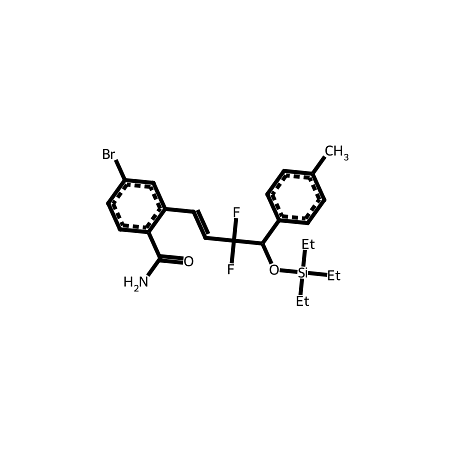 CC[Si](CC)(CC)OC(c1ccc(C)cc1)C(F)(F)C=Cc1cc(Br)ccc1C(N)=O